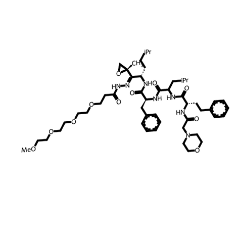 COCCOCCOCCOCCC(=O)N/N=C(/[C@H](CCC(C)C)NC(=O)[C@H](Cc1ccccc1)NC(=O)C(CC(C)C)NC(=O)[C@H](CCc1ccccc1)NC(=O)CN1CCOCC1)[C@@]1(C)CO1